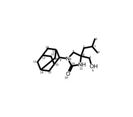 CC(C)CC1(CO)CN(C2C3CC4CC(C3)CC2C4)C(=O)N1